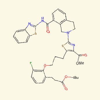 COC(=O)c1nc(N2CCc3cccc(C(=O)Nc4nc5ccccc5s4)c3C2)sc1CCCOc1c(F)cccc1CCC(=O)OC(C)(C)C